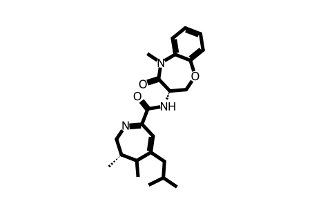 CC(C)CC1=CC(C(=O)N[C@H]2COc3ccccc3N(C)C2=O)=NC[C@@H](C)C1C